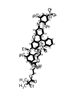 CCN(c1ccc2c(-c3ccccc3S(=O)(=O)N(CC)CCOC(=O)NCCOC(=O)C(C)(C)CC)c3cc/c(=N\c4c(C(C)C)cc([SH](=O)=O)cc4C(C)C)cc-3oc2c1)c1c(C(C)C)cc(S(=O)(=O)O)cc1C(C)C